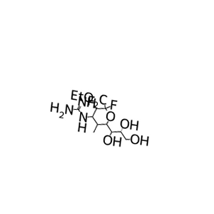 CCOC(=O)C1(F)OC(C(O)[C@H](O)CO)C(C)C(NC(=N)N)C1F